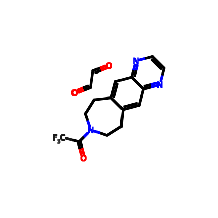 O=C(N1CCc2cc3nccnc3cc2CC1)C(F)(F)F.O=CC=O